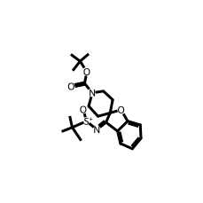 CC(C)(C)OC(=O)N1CCC2(CC1)Oc1ccccc1/C2=N/[S+]([O-])C(C)(C)C